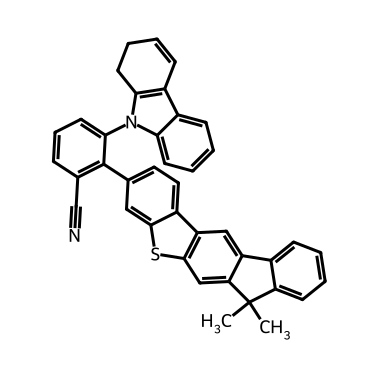 CC1(C)c2ccccc2-c2cc3c(cc21)sc1cc(-c2c(C#N)cccc2-n2c4c(c5ccccc52)C=CCC4)ccc13